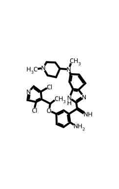 CC(Oc1ccc(N)c(C(=N)c2nc3ccc(N(C)C4CCN(C)CC4)cc3[nH]2)c1)c1c(Cl)cncc1Cl